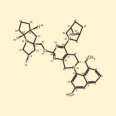 CCc1cccc2cc(O)cc(N3CCc4c(nc(OC[C@@]56C[C@@H](F)CN5[C@@H]5CCC[C@@H]5C6)nc4N4CC5CCC(C4)N5)C3)c12